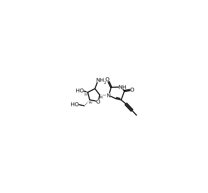 CC#Cc1cn([C@@H]2O[C@H](CO)[C@@H](O)C2N)c(=O)[nH]c1=O